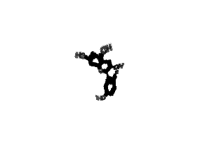 Oc1cc(O)c2c(c1)O[C@@H](c1cc(O)ccc1F)[C@@H](O)C2